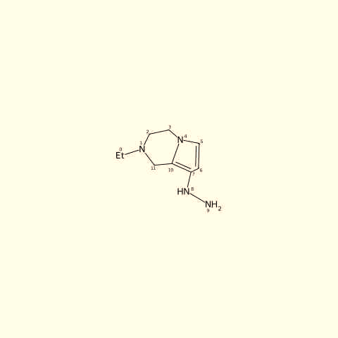 CCN1CCn2ccc(NN)c2C1